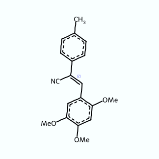 COc1cc(OC)c(OC)cc1/C=C(\C#N)c1ccc(C)cc1